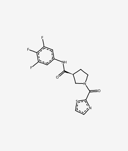 O=C(Nc1cc(F)c(F)c(F)c1)[C@H]1CCN(C(=O)c2nccs2)C1